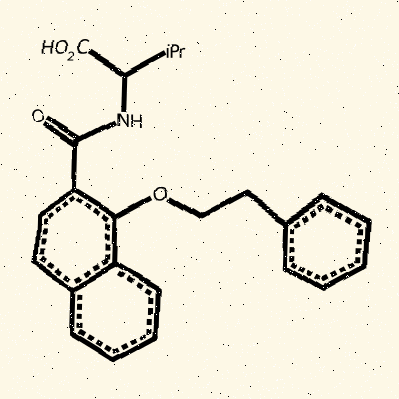 CC(C)C(NC(=O)c1ccc2ccccc2c1OCCc1ccccc1)C(=O)O